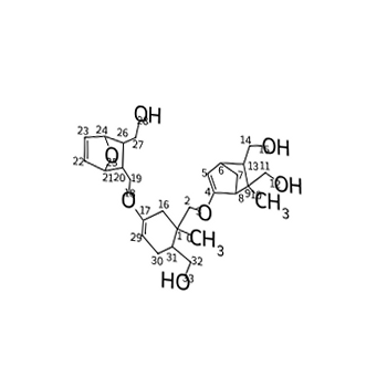 CC1(COC2=CC3CC2C(C)(CO)C3CO)CC(OCC2C3C=CC(O3)C2CO)=CCC1CO